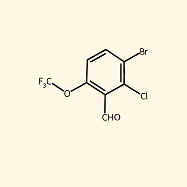 O=Cc1c(OC(F)(F)F)ccc(Br)c1Cl